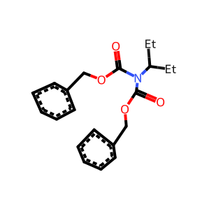 CCC(CC)N(C(=O)OCc1ccccc1)C(=O)OCc1ccccc1